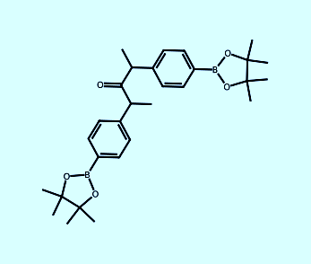 CC(C(=O)C(C)c1ccc(B2OC(C)(C)C(C)(C)O2)cc1)c1ccc(B2OC(C)(C)C(C)(C)O2)cc1